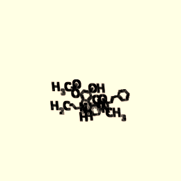 C=CCN1CC[C@]23c4c5c(OC(C)=O)cc(O)c4O[C@H]2[C@@H](N(C)C(=O)C=Cc2ccccc2)CC[C@H]3[C@H]1C5